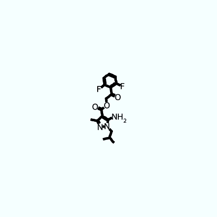 Cc1nn(CC(C)C)c(N)c1C(=O)OCC(=O)c1c(F)cccc1F